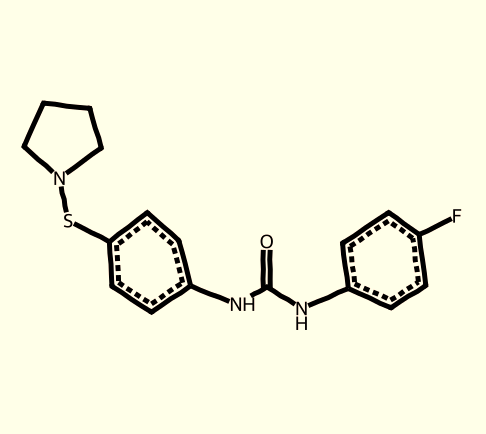 O=C(Nc1ccc(F)cc1)Nc1ccc(SN2CCCC2)cc1